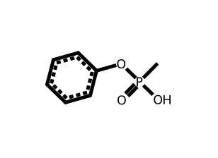 CP(=O)(O)Oc1ccccc1